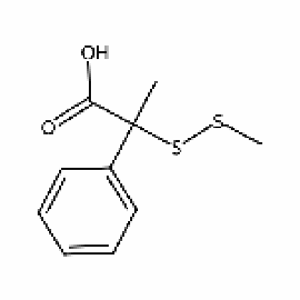 CSSC(C)(C(=O)O)c1ccccc1